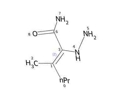 CCC/C(C)=C(\NN)C(N)=O